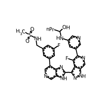 CCCC(O)Nc1cncc(-c2ncc3[nH]nc(-c4nc5c(-c6cc(F)cc(CNS(C)(=O)=O)c6)cncc5[nH]4)c3c2F)c1